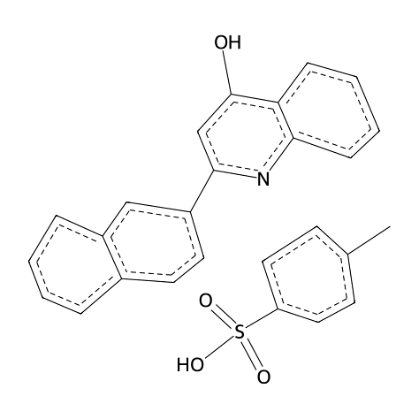 Cc1ccc(S(=O)(=O)O)cc1.Oc1cc(-c2ccc3ccccc3c2)nc2ccccc12